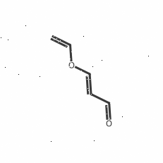 C=CO/C=C/C=O